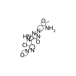 C[C@@H]1OCC2(CCN(c3nc4[nH]nc(-c5ccnc(N6CCOCC6)c5Cl)c4c(=O)n3C)CC2)[C@@H]1N